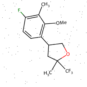 COc1c(C2COC(C)(C(F)(F)F)C2)ccc(F)c1C